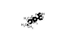 CC(C)N1C[C@@H](C)C(O)(c2c(F)cc(-c3ccnc4[nH]cc(F)c34)cc2F)[C@@H](C)C1